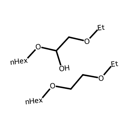 CCCCCCOC(O)COCC.CCCCCCOCCOCC